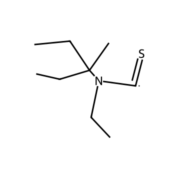 CCN([C]=S)C(C)(CC)CC